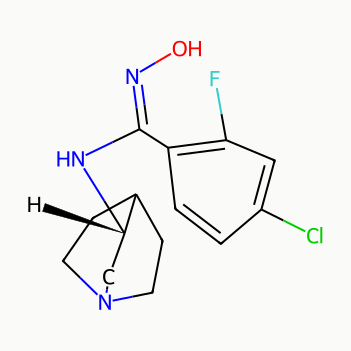 O/N=C(/N[C@H]1CN2CCC1CC2)c1ccc(Cl)cc1F